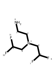 NCCN(CC(F)F)CC(F)F